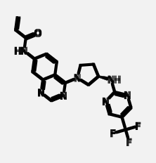 C=CC(=O)Nc1ccc2c(N3CC[C@@H](Nc4ncc(C(F)(F)F)cn4)C3)ncnc2c1